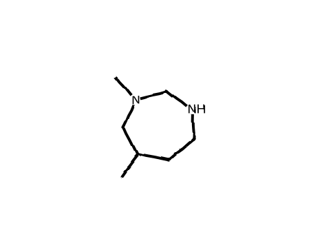 CC1CCNCN(C)C1